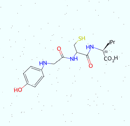 CC(C)[C@H](NC(=O)C(CS)NC(=O)CNc1ccc(O)cc1)C(=O)O